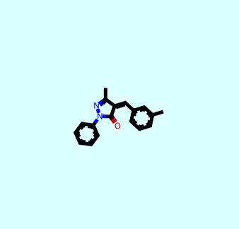 CC1=NN(c2ccccc2)C(=O)C1=Cc1cccc(C)c1